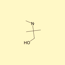 C[N]C(C)(C)CO